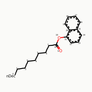 CCCCCCCCCCCCCCCCCC(=O)Oc1cccc2ccccc12